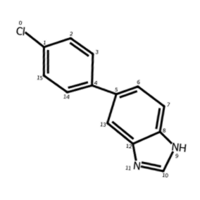 Clc1ccc(-c2ccc3[nH]cnc3c2)cc1